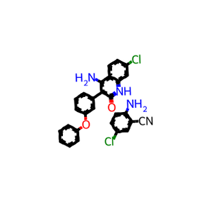 N#Cc1cc(Cl)ccc1N.Nc1c(-c2cccc(Oc3ccccc3)c2)c(=O)[nH]c2cc(Cl)ccc12